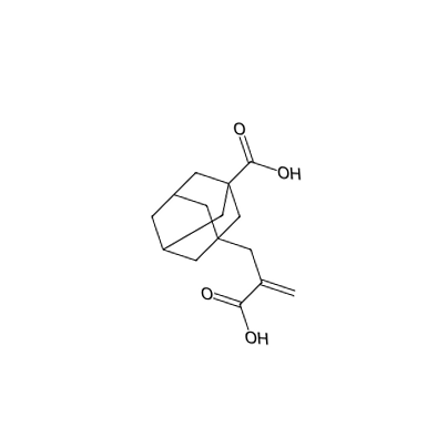 C=C(CC12CC3CC(C1)CC(C(=O)O)(C3)C2)C(=O)O